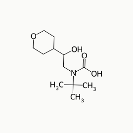 CC(C)(C)N(CC(O)C1CCOCC1)C(=O)O